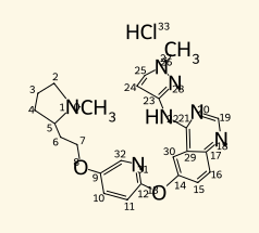 CN1CCCC1CCOc1ccc(Oc2ccc3ncnc(Nc4ccn(C)n4)c3c2)nc1.Cl